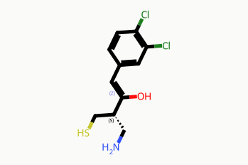 NC[C@H](CS)/C(O)=C/c1ccc(Cl)c(Cl)c1